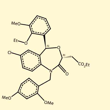 CCOC(=O)C[C@H]1O[C@H](c2cccc(OC)c2OCC)c2cc(Cl)ccc2N(Cc2ccc(OC)cc2OC)C1=O